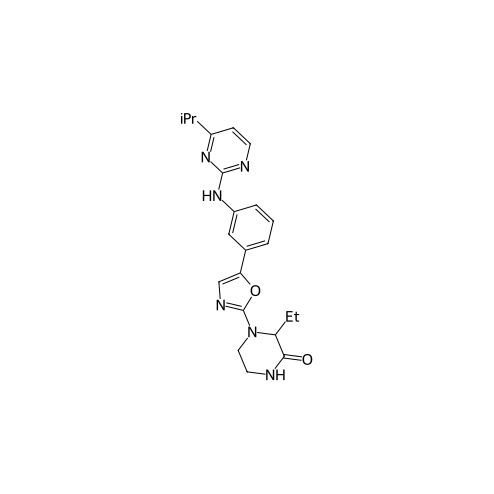 CCC1C(=O)NCCN1c1ncc(-c2cccc(Nc3nccc(C(C)C)n3)c2)o1